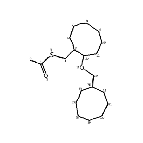 CC(=O)SCC1CCCCCCC1OCC1CCCCCCC1